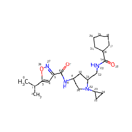 CC(C)c1cc(C(=O)NC2CC(CNC(=O)C3CCCCC3)N(C3CC3)C2)no1